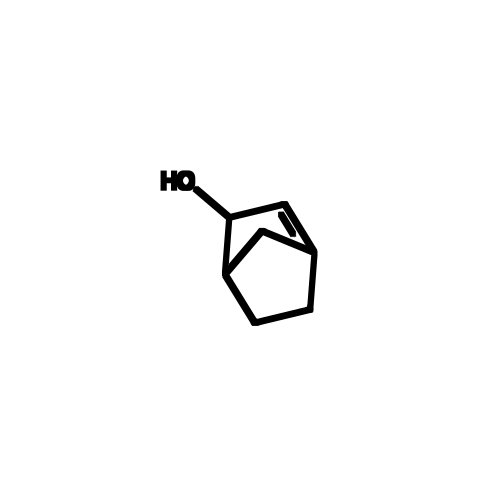 OC1C=C2CCC1C2